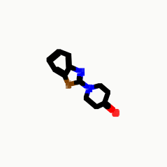 O=C1CCN(c2nc3ccccc3s2)CC1